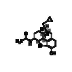 CC(=O)NC1CC[C@@]2(O)[C@H]3Cc4ccc(O)c5c4[C@@]2(CCN3CC2CC2)[C@H]1O5